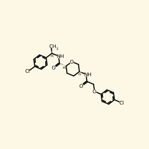 C[C@@H](NC(=O)[C@H]1CC[C@H](NC(=O)COc2ccc(Cl)cc2)CO1)c1ccc(Cl)cc1